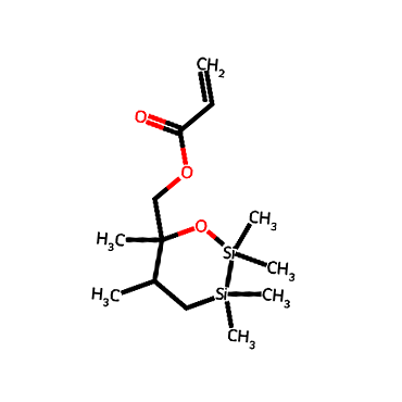 C=CC(=O)OCC1(C)O[Si](C)(C)[Si](C)(C)CC1C